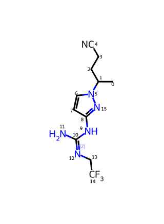 CC(CCC#N)n1ccc(N/C(N)=N\CC(F)(F)F)n1